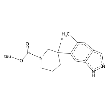 Cc1cc2cn[nH]c2cc1C1(F)CCCN(C(=O)OC(C)(C)C)C1